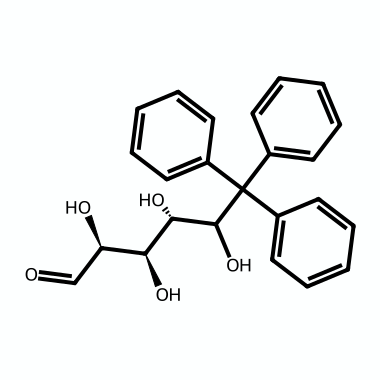 O=C[C@@H](O)[C@H](O)[C@H](O)C(O)C(c1ccccc1)(c1ccccc1)c1ccccc1